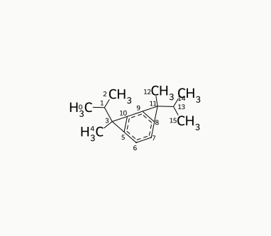 CC(C)C1(C)c2ccc3c(c21)C3(C)C(C)C